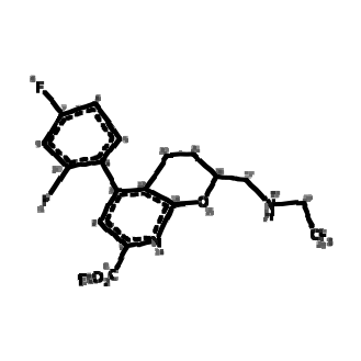 CCOC(=O)c1cc(-c2ccc(F)cc2F)c2c(n1)OC(CNCC(F)(F)F)CC2